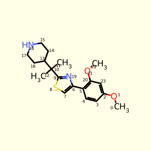 COc1ccc(-c2csc(C(C)(C)C3CCNCC3)n2)c(OC)c1